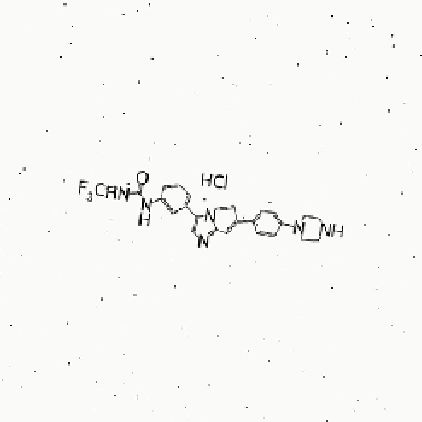 Cl.O=C(NCC(F)(F)F)Nc1cccc(-c2cnc3cc(-c4ccc(N5CCNCC5)cc4)ccn23)c1